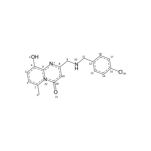 Cc1ccc(O)c2nc(CNCc3ccc(Cl)cc3)cc(=O)n12